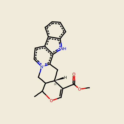 COC(=O)C1=COC(C)C2C[n+]3ccc4c([nH]c5ccccc54)c3C[C@H]12